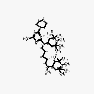 Cc1nc(N2CCOCC2)nc(N(CCCCCN(C)C2CC(C)(C)N(C)C(C)(C)C2)C2CC(C)(C)N(C)C(C)(C)C2)n1